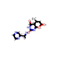 CCc1cc(=O)oc2nc(O/N=C(\C)c3cnccn3)[nH]c(=O)c12